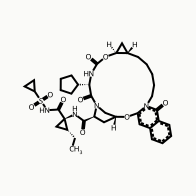 CC[C@@H]1C[C@]1(NC(=O)[C@@H]1C[C@@H]2CN1C(=O)[C@H](C1CCCC1)NC(=O)O[C@H]1C[C@@H]1CCCCCn1c(cc3ccccc3c1=O)O2)C(=O)NS(=O)(=O)C1CC1